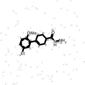 CCc1ccc(OC)c(C2=CCC(C(=O)NN)CC2)c1